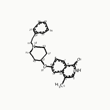 Cc1c[nH]c(=O)c2ccc(OC3CCN(Cc4ccccc4)CC3)cc12